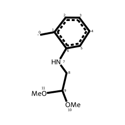 [CH2]c1ccccc1NCC(OC)OC